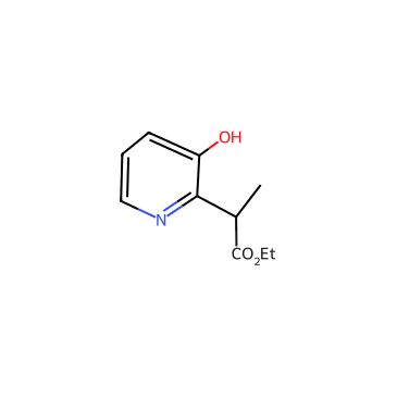 CCOC(=O)C(C)c1ncccc1O